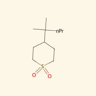 CCCC(C)(C)C1CCS(=O)(=O)CC1